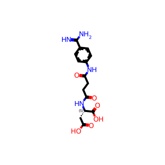 N=C(N)c1ccc(NC(=O)CCC(=O)N[C@@H](CC(=O)O)C(=O)O)cc1